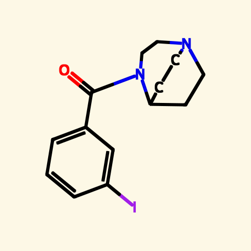 O=C(c1cccc(I)c1)N1CCN2CCC1CC2